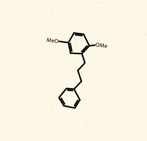 COc1ccc(OC)c(CCCc2ccccc2)c1